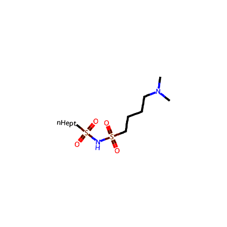 CCCCCCCS(=O)(=O)NS(=O)(=O)CCCCN(C)C